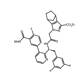 CCOC(=O)c1nn(CC(=O)N[C@@H](Cc2cc(F)cc(F)c2)c2ncccc2-c2ccc(F)c(C(=O)NC)c2)c2c1C1CCC2C1